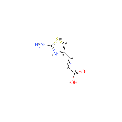 Nc1nc(/C=C/C(=O)O)cs1